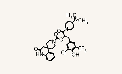 CN(C)C1CCN(C(=O)[C@@H](Cc2cc(Cl)c(O)c(C(F)(F)F)c2)OC(=O)N2CCC3(CC2)CC(=O)Nc2ccccc23)CC1